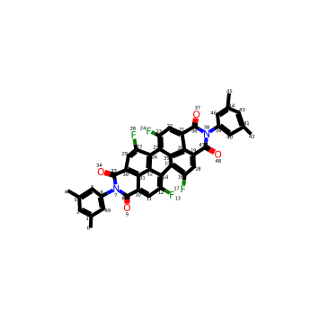 Cc1cc(C)cc(N2C(=O)c3cc(F)c4c5c(F)cc6c7c(cc(F)c(c8c(F)cc(c3c48)C2=O)c75)C(=O)N(c2cc(C)cc(C)c2)C6=O)c1